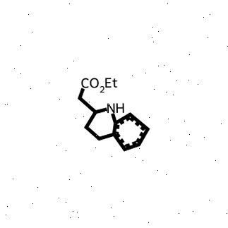 CCOC(=O)CC1CCc2ccccc2N1